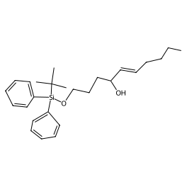 CCCCC=CC(O)CCCO[Si](c1ccccc1)(c1ccccc1)C(C)(C)C